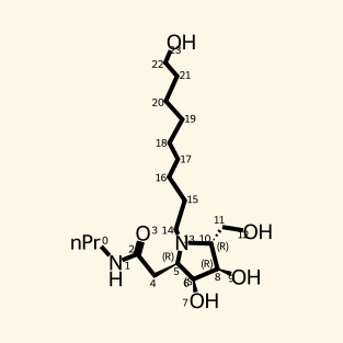 CCCNC(=O)C[C@@H]1[C@H](O)[C@H](O)[C@@H](CO)N1CCCCCCCCCO